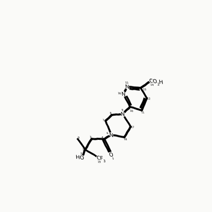 CC(O)(CC(=O)N1CCN(c2ccc(C(=O)O)nn2)CC1)C(F)(F)F